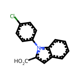 O=C(O)c1cc2ccccc2n1-c1ccc(Cl)cc1